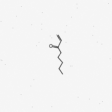 [CH]=CC(=O)CCCCC